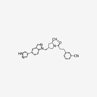 C[C@@H]1C[C@H](Cn2ncc3cc(-c4cn[nH]c4)ccc32)CN1C(=O)CCc1cccc(C#N)c1